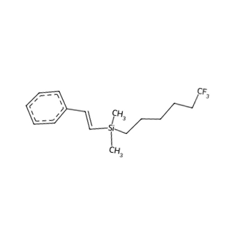 C[Si](C)(C=Cc1ccccc1)CCCCCC(F)(F)F